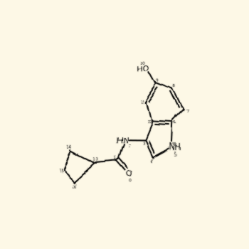 O=C(Nc1c[nH]c2ccc(O)cc12)C1CCC1